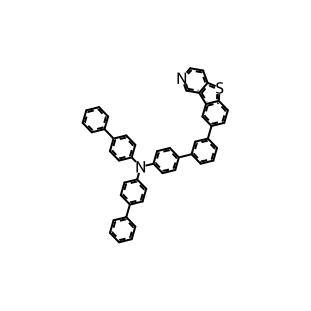 c1ccc(-c2ccc(N(c3ccc(-c4ccccc4)cc3)c3ccc(-c4cccc(-c5ccc6sc7ccncc7c6c5)c4)cc3)cc2)cc1